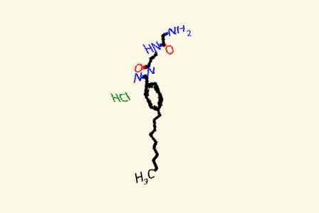 CCCCCCCCCCc1ccc(-c2noc(CCNC(=O)CN)n2)cc1.Cl